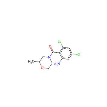 CC1CN(C(=O)c2c(N)cc(Cl)cc2Cl)CCO1